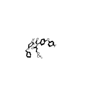 COCCC(=O)N(C(=O)[C@@H]1C[C@@H](Cc2ccccc2)CN1)c1ccc(Oc2ccc(F)cc2)cc1